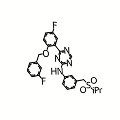 CC(C)S(=O)(=O)Cc1cccc(Nc2ncnc(-c3cc(F)ccc3OCc3cccc(F)c3)n2)c1